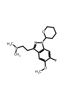 COc1cc2c(CCN(C)C)nn(C3CCCCO3)c2cc1F